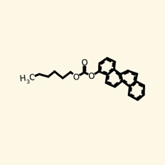 CCCCCCOC(=O)Oc1cccc2c1ccc1c3ccccc3ccc21